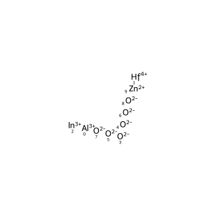 [Al+3].[Hf+4].[In+3].[O-2].[O-2].[O-2].[O-2].[O-2].[O-2].[Zn+2]